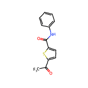 O=C(Nc1ccccc1)c1ccc(C(=O)C(F)(F)F)s1